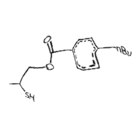 CCCCc1ccc(C(=O)OCC(C)S)cc1